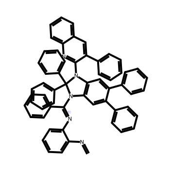 C=Nc1ccccc1/N=C(\c1ccccc1)N1c2cc(-c3ccccc3)c(-c3ccccc3)cc2N(c2nc3ccccc3cc2-c2ccccc2)C1(c1ccccc1)c1ccccc1